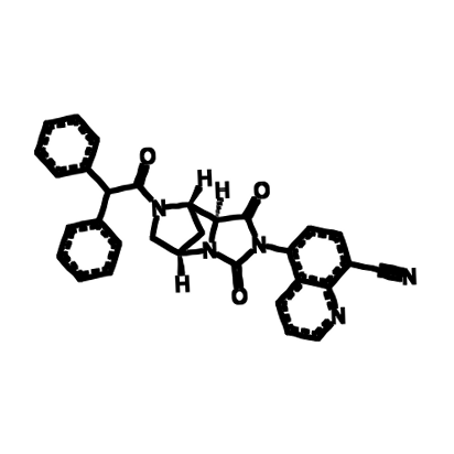 N#Cc1ccc(N2C(=O)[C@@H]3[C@@H]4C[C@@H](CN4C(=O)C(c4ccccc4)c4ccccc4)N3C2=O)c2cccnc12